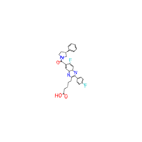 O=C(O)CCCCc1nc2cc(C(=O)N3CC[C@@H](c4ccccc4)C3)c(F)cc2nc1-c1ccc(F)cc1